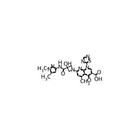 Cc1cc(N2CC(O)(C(=O)Nc3cc(C)n(C)n3)C2)nc2c1c(=O)c(C(=O)O)cn2-c1ncns1